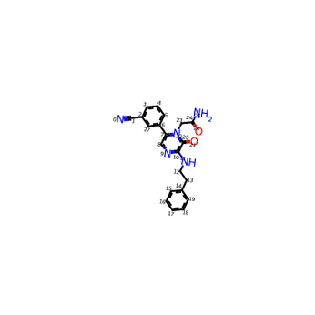 N#Cc1cccc(-c2cnc(NCCc3ccccc3)c(=O)n2CC(N)=O)c1